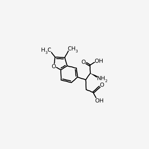 Cc1oc2ccc(C(CC(=O)O)[C@H](N)C(=O)O)cc2c1C